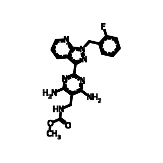 COC(=O)NCc1c(N)nc(-c2nn(Cc3ccccc3F)c3ncccc23)nc1N